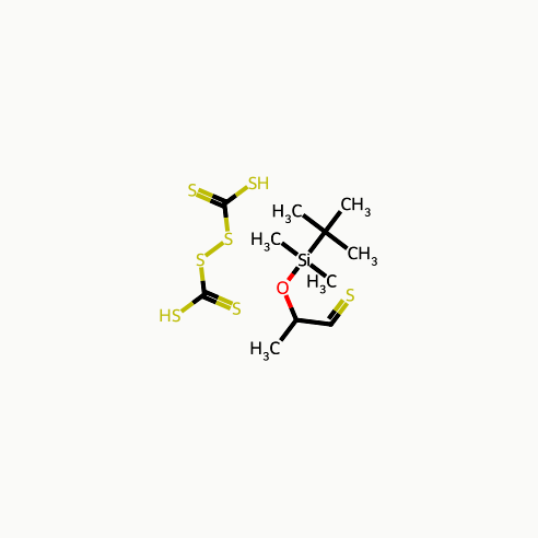 CC(C=S)O[Si](C)(C)C(C)(C)C.S=C(S)SSC(=S)S